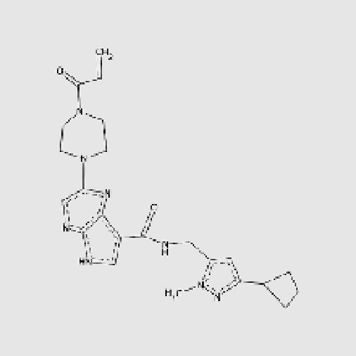 C=CC(=O)N1CCN(c2cnc3[nH]cc(C(=O)NCc4cc(C5CCC5)nn4C)c3n2)CC1